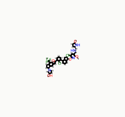 COc1nc(O[C@H]2CCc3c(-c4cccc(-c5cc6cc7c(c(C(F)(F)F)c6o5)CC[C@H]7N5CC[C@@H](O)C5)c4Cl)cccc32)c(Cl)cc1CNC[C@H]1CCC(=O)N1